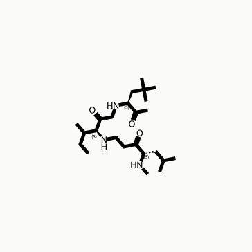 CCC(C)[C@H](NCCC(=O)[C@H](CC(C)C)NC)C(=O)CN[C@@H](CC(C)(C)C)C(C)=O